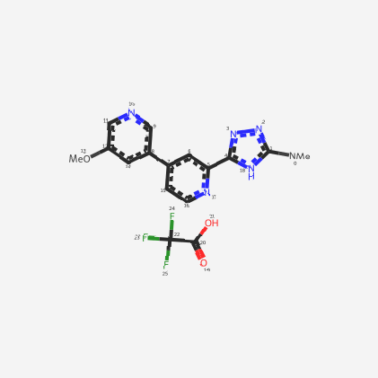 CNc1nnc(-c2cc(-c3cncc(OC)c3)ccn2)[nH]1.O=C(O)C(F)(F)F